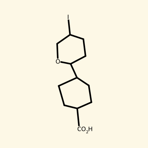 O=C(O)C1CCC(C2CCC(I)CO2)CC1